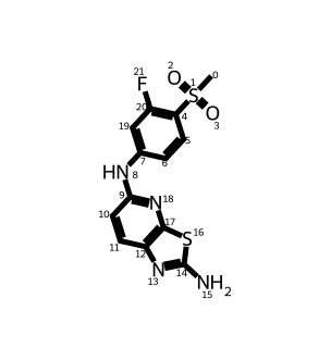 CS(=O)(=O)c1ccc(Nc2ccc3nc(N)sc3n2)cc1F